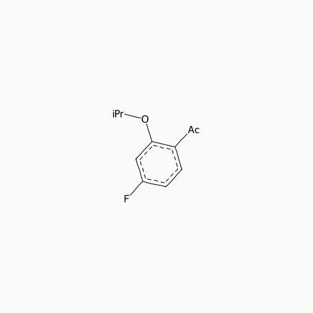 CC(=O)c1ccc(F)cc1OC(C)C